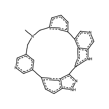 CN1Cc2cncc(c2)-c2ccc3[nH]nc(c3c2)-c2nc3c(cncc3[nH]2)-c2cccc(c2)C1